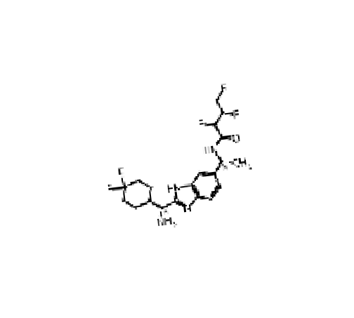 C[C@@H](NC(=O)C(F)C(F)CF)c1ccc2nc([C@@H](N)C3CCC(F)(F)CC3)[nH]c2c1